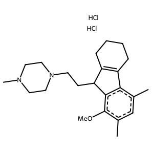 COc1c(C)cc(C)c2c1C(CCN1CCN(C)CC1)C1=C2CCCC1.Cl.Cl